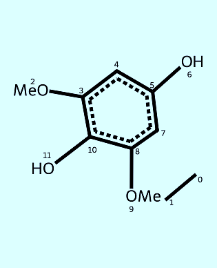 CC.COc1cc(O)cc(OC)c1O